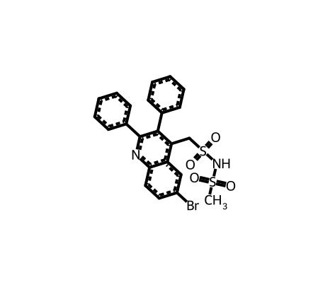 CS(=O)(=O)NS(=O)(=O)Cc1c(-c2ccccc2)c(-c2ccccc2)nc2ccc(Br)cc12